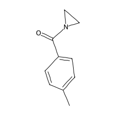 Cc1ccc(C(=O)N2CC2)cc1